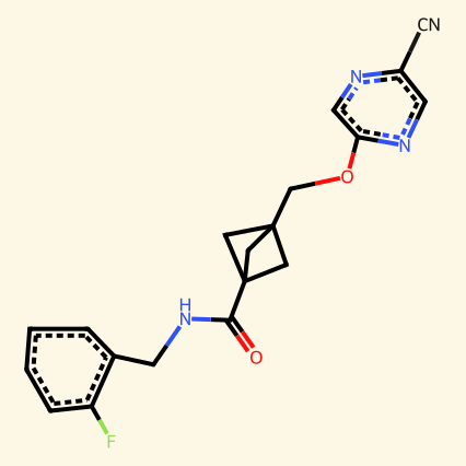 N#Cc1cnc(OCC23CC(C(=O)NCc4ccccc4F)(C2)C3)cn1